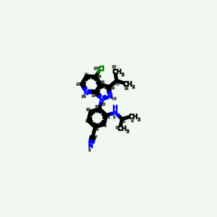 CC(C)Nc1cc(C#N)ccc1-n1nc(C(C)C)c2c(Cl)ccnc21